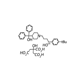 CC(C)(C)c1ccc([C@H](O)CCCN2CCC(C(O)(c3ccccc3)c3ccccc3)CC2)cc1.O=C(O)CC(O)(CC(=O)O)C(=O)O